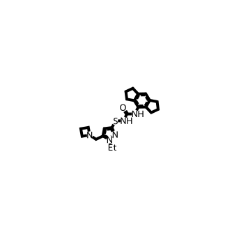 CCn1nc(SNC(=O)Nc2c3c(cc4c2CCC4)CCC3)cc1CN1CCC1